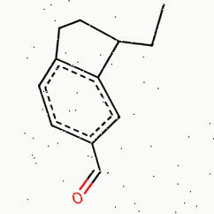 CCC1CCc2ccc(C=O)cc21